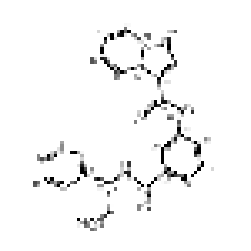 O=C(N[C@H](CO)c1ccccc1)c1cccc(NC(=O)c2cnc3ccccn23)c1